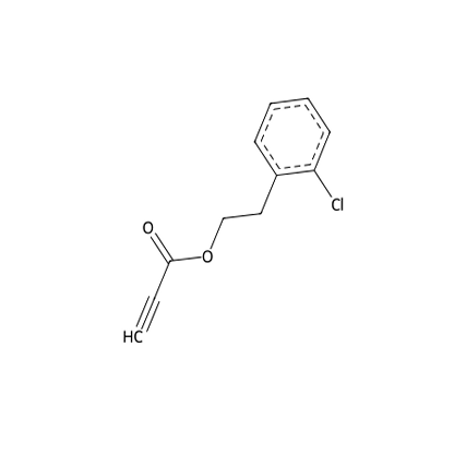 C#CC(=O)OCCc1ccccc1Cl